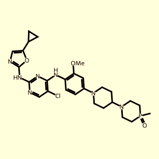 COc1cc(N2CCC(N3CCP(C)(=O)CC3)CC2)ccc1Nc1nc(Nc2ncc(C3CC3)o2)ncc1Cl